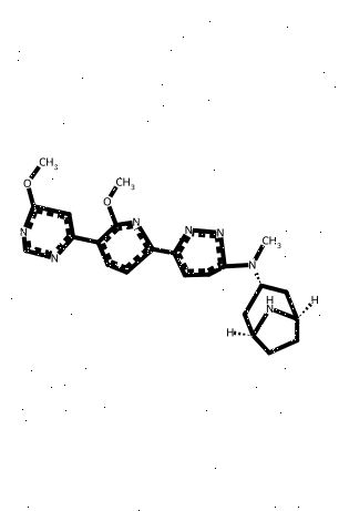 COc1cc(-c2ccc(-c3ccc(N(C)[C@@H]4C[C@H]5CC[C@@H](C4)N5)nn3)nc2OC)ncn1